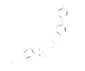 O=S(=O)(N[C@@H]1CCN(Cc2ccc(-c3ccc(Cl)cc3)cc2)C1)c1cccc(OC(F)(F)F)c1